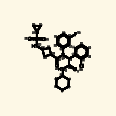 O=C(NC1CCCCC1)C(c1ccccc1Cl)N(C(=O)C1CC(NS(=O)(=O)N2CC2)C1)c1cccc(F)c1